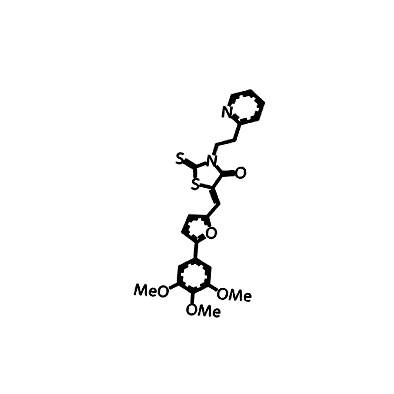 COc1cc(-c2ccc(/C=C3\SC(=S)N(CCc4ccccn4)C3=O)o2)cc(OC)c1OC